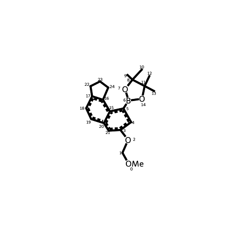 COCOc1cc(B2OC(C)(C)C(C)(C)O2)c2c3c(ccc2c1)CCC3